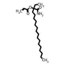 C=CC(=O)OC(CC)(CCCCCCCCCCCCCCCC)C(N)=O